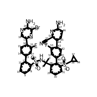 CC(C)(NS(=O)(=O)c1ccccc1-c1ccc(-c2cnc(N)c(Br)n2)c(F)c1)c1cccc(S(=O)(=O)C2CC2)c1-c1ccc(-c2ccc(N)nc2C#N)c(F)c1